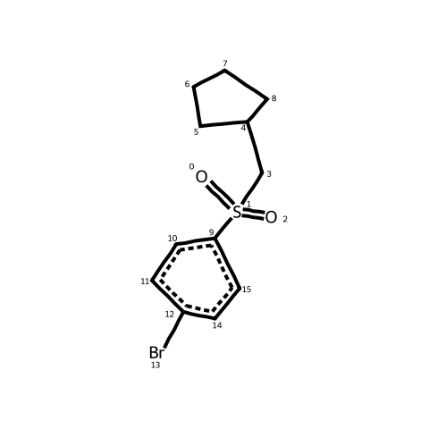 O=S(=O)(CC1CCCC1)c1ccc(Br)cc1